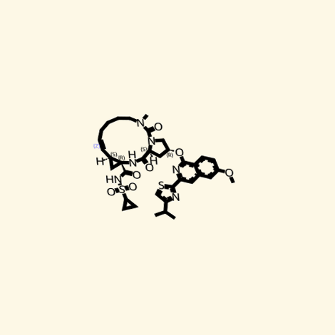 COc1ccc2c(O[C@@H]3C[C@H]4C(=O)N[C@]5(C(=O)NS(=O)(=O)C6CC6)C[C@H]5/C=C\CCCCN(C)C(=O)N4C3)nc(-c3nc(C(C)C)cs3)cc2c1